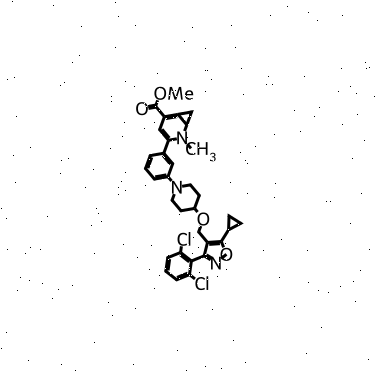 COC(=O)C1=C2CC2N(C)C(c2cccc(N3CCC(OCc4c(-c5c(Cl)cccc5Cl)noc4C4CC4)CC3)c2)=C1